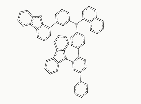 c1ccc(-c2ccc(-c3ccc(N(c4cccc(-c5cccc6c5oc5ccccc56)c4)c4cccc5ccccc45)cc3)c(-n3c4ccccc4c4ccccc43)c2)cc1